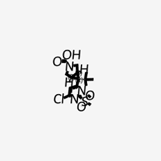 CC(C)(C)[C@]1(c2cc(Cl)nc(S(C)(=O)=O)n2)[C@@H]2CN(C(=O)O)C[C@@H]21